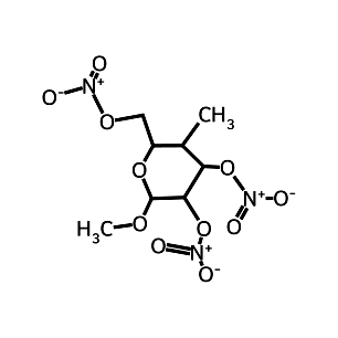 COC1OC(CO[N+](=O)[O-])C(C)C(O[N+](=O)[O-])C1O[N+](=O)[O-]